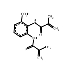 C=C(C)C(=O)Nc1cccc(C(=O)O)c1NC(=O)C(=C)C